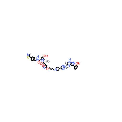 Cc1ncsc1-c1ccc(CNC(=O)[C@@H]2C[C@@H](O)CN2C(=O)[C@@H](c2cc(OCCCCN3CCC(c4cnc(N5CCN6c7cc(-c8ccccc8O)nnc7NC[C@@H]6C5)nc4)CC3)no2)C(C)C)cc1